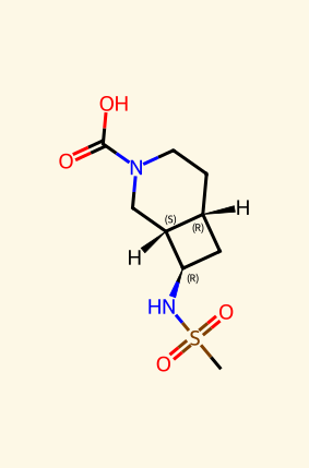 CS(=O)(=O)N[C@@H]1C[C@H]2CCN(C(=O)O)C[C@H]21